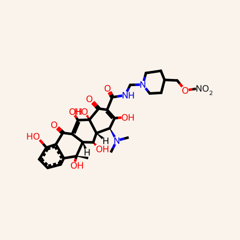 CN(C)[C@@H]1C(O)=C(C(=O)NCN2CCC(CO[N+](=O)[O-])CC2)C(=O)[C@@]2(O)C(O)=C3C(=O)c4c(O)cccc4[C@@](C)(O)[C@H]3[C@H](O)[C@@H]12